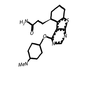 CNC1CCC(Oc2ncnc3sc4c(c23)[C@@H](CCC(N)=O)CCC4)CC1